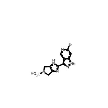 O=C(O)N1Cc2nc(-c3n[nH]c4cc(Br)ncc34)[nH]c2C1